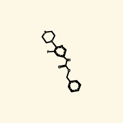 O=C(Nc1cnc(N2CCSCC2)c(F)c1)OCc1ccccc1